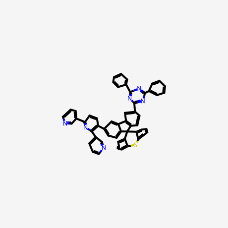 c1ccc(-c2nc(-c3ccccc3)nc(-c3ccc4c(c3)-c3cc(-c5ccc(-c6cccnc6)nc5-c5cccnc5)ccc3C43c4ccccc4Sc4ccccc43)n2)cc1